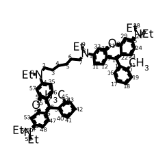 CCN(CCCCCCN(CC)c1ccc2c(-c3ccccc3C)c3ccc(=[N+](CC)CC)cc-3oc2c1)c1ccc2c(-c3ccccc3C)c3ccc(=[N+](CC)CC)cc-3oc2c1